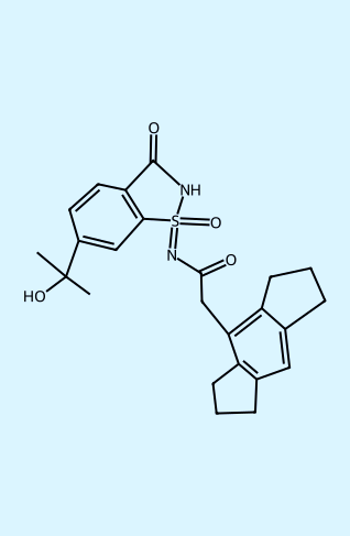 CC(C)(O)c1ccc2c(c1)S(=O)(=NC(=O)Cc1c3c(cc4c1CCC4)CCC3)NC2=O